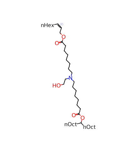 CCCCCC/C=C\COC(=O)CCCCCCCN(CCO)CCCCCCCC(=O)OC(CCCCCCCC)CCCCCCCC